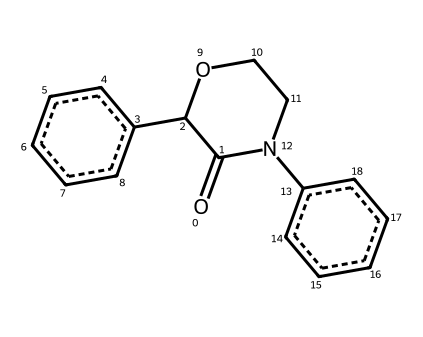 O=C1C(c2ccccc2)OCCN1c1ccccc1